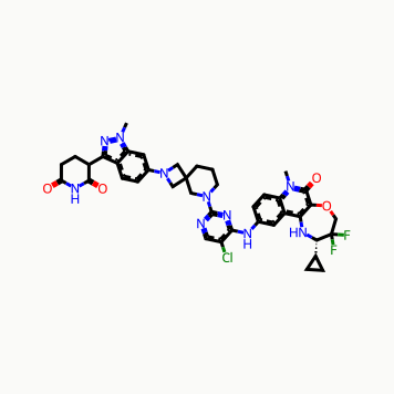 Cn1nc(C2CCC(=O)NC2=O)c2ccc(N3CC4(CCCN(c5ncc(Cl)c(Nc6ccc7c(c6)c6c(c(=O)n7C)OCC(F)(F)[C@H](C7CC7)N6)n5)C4)C3)cc21